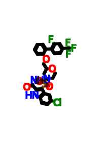 NC(=O)c1[nH]c2ccc(Cl)cc2c1S(=O)(=O)N1CCOC(COc2ccccc2-c2ccc(C(F)(F)F)cc2F)C1